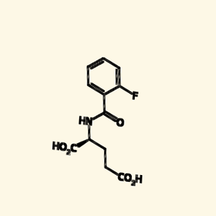 O=C(O)CC[C@H](NC(=O)c1ccccc1F)C(=O)O